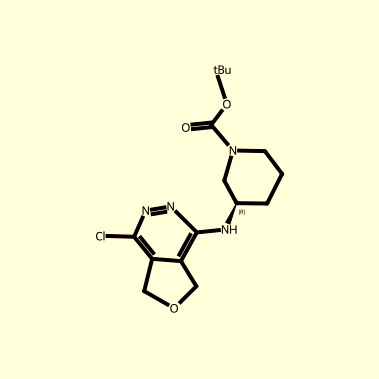 CC(C)(C)OC(=O)N1CCC[C@@H](Nc2nnc(Cl)c3c2COC3)C1